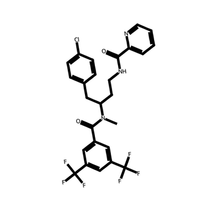 CN(C(=O)c1cc(C(F)(F)F)cc(C(F)(F)F)c1)C(CCNC(=O)c1ccccn1)Cc1ccc(Cl)cc1